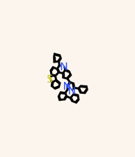 c1ccc(-c2cc(-c3ccc4nc(-c5ccccc5)c5ccc6sc7ccccc7c6c5c4c3)nc(-c3ccccc3-c3ccccc3)n2)cc1